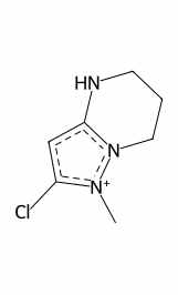 C[n+]1c(Cl)cc2n1CCCN2